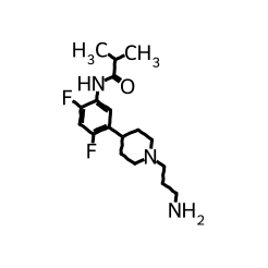 CC(C)C(=O)Nc1cc(C2CCN(CCCN)CC2)c(F)cc1F